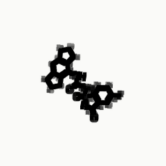 O=C(Nc1c2c(cc3c1CCC3)CCC2)NS1(=O)=NC(=O)c2cc(F)ccc21